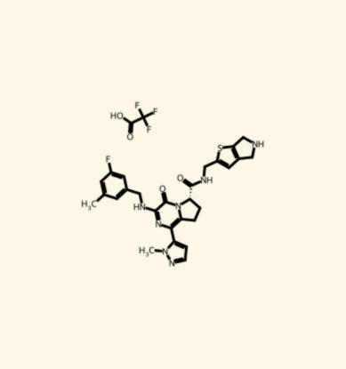 Cc1cc(F)cc(CNc2nc(-c3ccnn3C)c3n(c2=O)[C@H](C(=O)NCc2cc4c(s2)CNC4)CC3)c1.O=C(O)C(F)(F)F